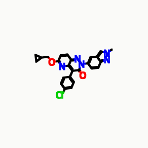 Cn1cc2cc(-n3nc4ccc(OCC5CC5)nc4c(-c4ccc(Cl)cc4)c3=O)ccc2n1